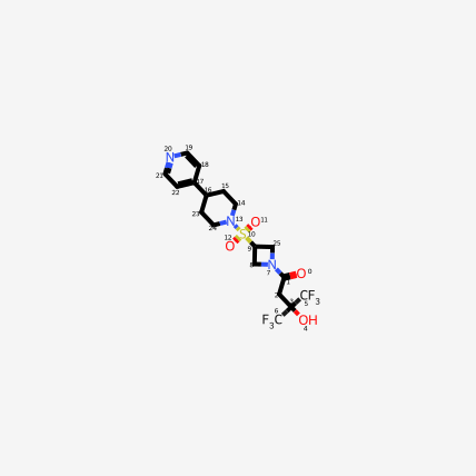 O=C(CC(O)(C(F)(F)F)C(F)(F)F)N1CC(S(=O)(=O)N2CCC(c3ccncc3)CC2)C1